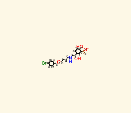 C[S+]([O-])c1cc(C(O)CNCCCCOCc2ccc(Br)cc2)ccc1O